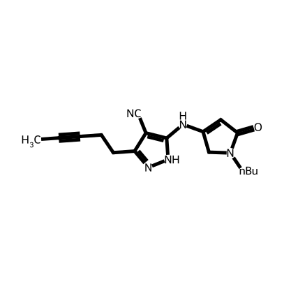 CC#CCCc1n[nH]c(NC2=CC(=O)N(CCCC)C2)c1C#N